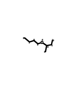 [CH2]CC(C)OCCCC